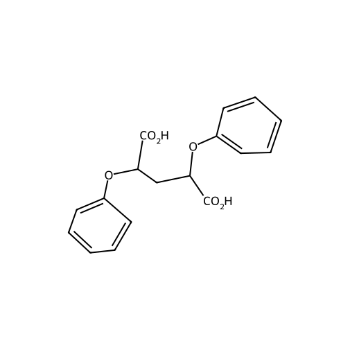 O=C(O)C(CC(Oc1ccccc1)C(=O)O)Oc1ccccc1